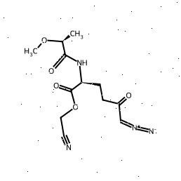 CO[C@@H](C)C(=O)N[C@@H](CCC(=O)C=[N+]=[N-])C(=O)OCC#N